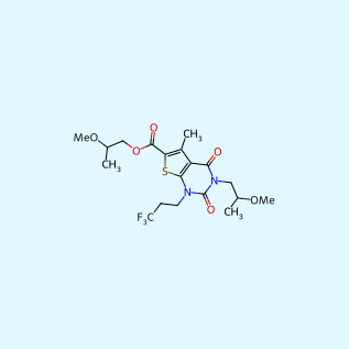 COC(C)COC(=O)c1sc2c(c1C)c(=O)n(CC(C)OC)c(=O)n2CCC(F)(F)F